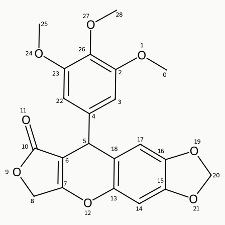 COc1cc(C2C3=C(COC3=O)Oc3cc4c(cc32)OCO4)cc(OC)c1OC